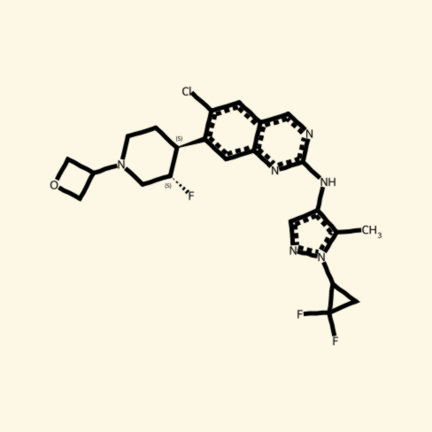 Cc1c(Nc2ncc3cc(Cl)c([C@@H]4CCN(C5COC5)C[C@H]4F)cc3n2)cnn1C1CC1(F)F